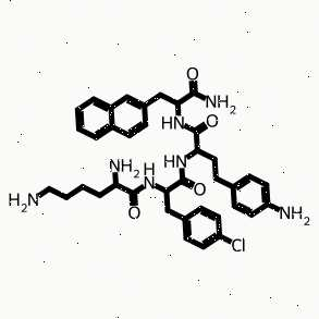 NCCCCC(N)C(=O)NC(Cc1ccc(Cl)cc1)C(=O)NC(CCc1ccc(N)cc1)C(=O)NC(Cc1ccc2ccccc2c1)C(N)=O